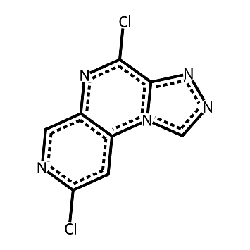 Clc1cc2c(cn1)nc(Cl)c1nncn12